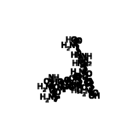 CC(C)[C@H](N)C(=O)O.CC(C)[C@H](N)C(=O)OC(=O)[C@@H](N)CC(N)=O.N=C(N)NCCC[C@H](N)C(=O)O.N[C@@H](Cc1ccc(OC(=O)[C@@H](N)Cc2c[nH]cn2)cc1)C(=O)O.N[C@@H](Cc1ccccc1)C(=O)O.O=C(O)[C@@H]1CCCN1